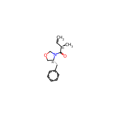 C=C[C@@H](C)C(=O)N1COC[C@H]1Cc1ccccc1